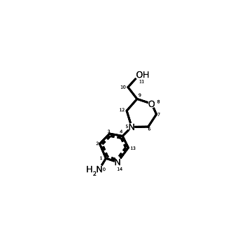 Nc1ccc(N2CCOC(CO)C2)cn1